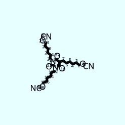 N#COCCCCCCC1C(=O)N(CCCCCCOC#N)C(=O)N(CCCCCCOC#N)C1=O